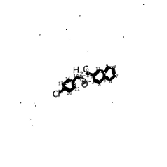 C=C(c1ccc2ccccc2c1)[S+]([O-])Cc1ccc(Cl)cc1